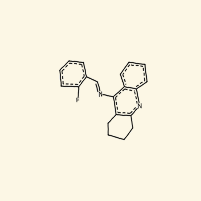 Fc1ccccc1/C=N/c1c2c(nc3ccccc13)CCCC2